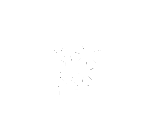 COC(=O)c1ccc2c(c1)c(C(N)=O)nn2CC(=O)N1C2C[C@@H]2C[C@H]1C(=O)Nc1cccc(-c2ccccc2Cl)c1F